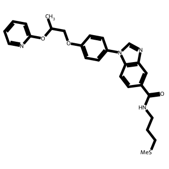 CSCCCNC(=O)c1ccc2c(c1)ncn2-c1ccc(OCC(C)Oc2ccccn2)cc1